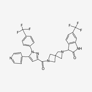 O=C1Nc2cc(C(F)(F)F)ccc2C1N1CC2(CN(C(=O)c3cc(-c4ccncc4)n(-c4ccc(C(F)(F)F)cc4)n3)C2)C1